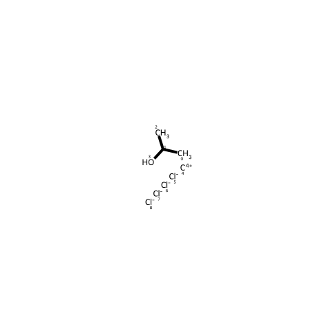 CC(C)O.[C+4].[Cl-].[Cl-].[Cl-].[Cl-]